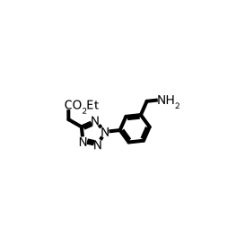 CCOC(=O)Cc1nnn(-c2cccc(CN)c2)n1